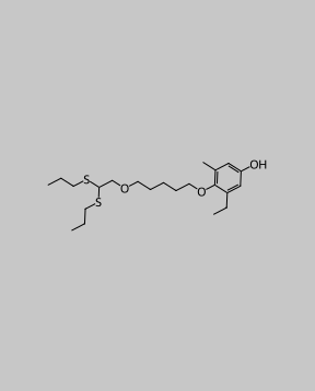 CCCSC(COCCCCCOc1c(C)cc(O)cc1CC)SCCC